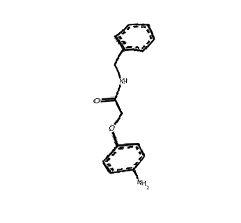 Nc1ccc(OCC(=O)NCc2ccccc2)cc1